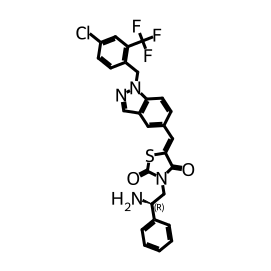 N[C@@H](CN1C(=O)SC(=Cc2ccc3c(cnn3Cc3ccc(Cl)cc3C(F)(F)F)c2)C1=O)c1ccccc1